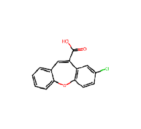 O=C(O)C1=Cc2ccccc2Oc2ccc(Cl)cc21